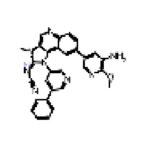 COc1ncc(-c2ccc3ncc4c(c3c2)n(-c2cncc(-c3ccccc3)c2)/c(=N\C#N)n4C)cc1N